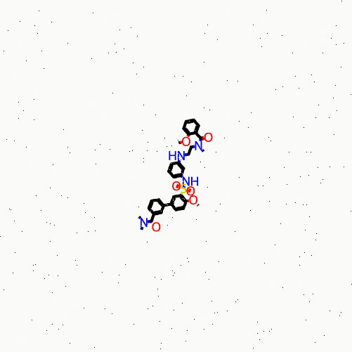 COc1ccccc1C(=O)N(C)CCNc1cccc(NS(=O)(=O)c2cc(-c3cccc(C(=O)N(C)C)c3)ccc2OC)c1